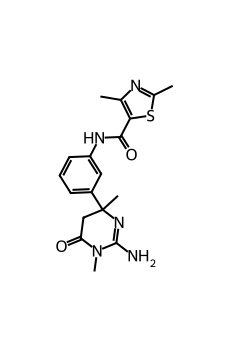 Cc1nc(C)c(C(=O)Nc2cccc(C3(C)CC(=O)N(C)C(N)=N3)c2)s1